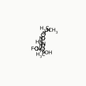 CC(O)c1cc2cnc(Nc3ccc4c(n3)CCN(CCN(C)C)C4)nc2c(N2CCC(F)CC2)n1